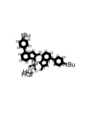 CC1=Cc2c(-c3ccc(C(C)(C)C)cc3)cccc2[CH]1[Zr]([CH]1C(C)=Cc2c(-c3ccc(C(C)(C)C)cc3)cccc21)[SiH](C)C.Cl.Cl